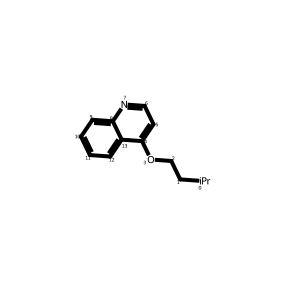 CC(C)CCOc1ccnc2ccccc12